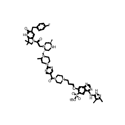 Cc1n[nH]c(Nc2ncnc3cc(OCCCN4CCN(C(=O)c5cnc(N6CCN(C[C@H]7CN[C@H](C)CN7CC(=O)N7CC(C)(C)c8[nH]c(=O)c(Cc9ccc(F)cc9)cc87)C(C)C6)nc5)CC4)c(S(=O)(=O)C(C)(C)C)cc23)c1C